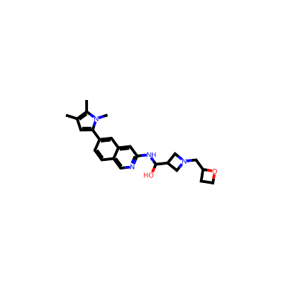 Cc1cc(-c2ccc3cnc(NC(O)C4CN(CC5CCO5)C4)cc3c2)n(C)c1C